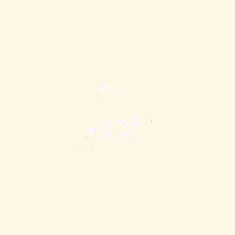 NC(=O)[C@H]1CC[C@@H](n2c(Nc3c(F)cccc3F)nc3cnc(N[C@H]4CCCO[C@@H]4F)nc32)CC1